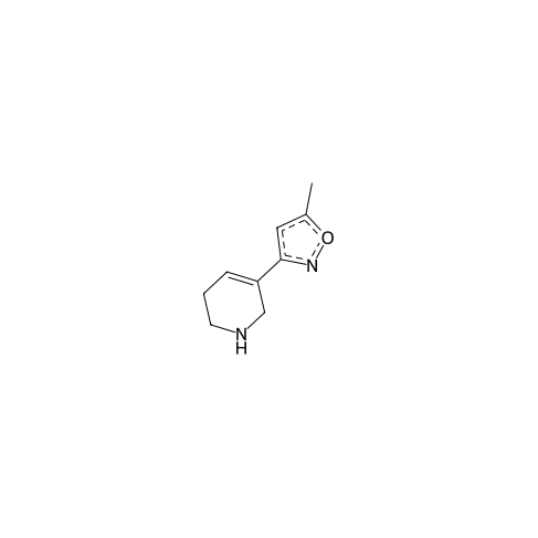 Cc1cc(C2=CCCNC2)no1